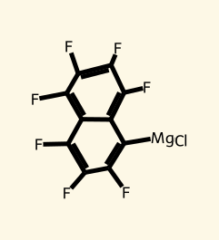 Fc1c(F)c(F)c2[c]([Mg][Cl])c(F)c(F)c(F)c2c1F